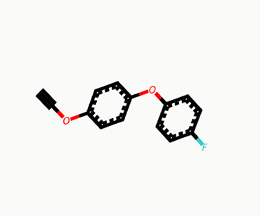 C#COc1ccc(Oc2ccc(F)cc2)cc1